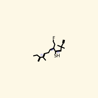 C#CC(C)(C)/C=C(S)\C(=C/C/C=C(\C)C(=C)CC)CCF